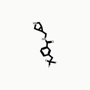 O=C(NCC1C2CNCC21)c1cccc(CC(F)(F)F)c1